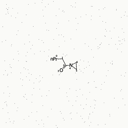 CCCCC(=O)N1CC1